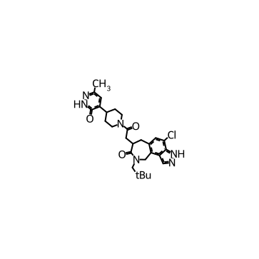 Cc1cc(C2CCN(C(=O)CC3Cc4cc(Cl)c5[nH]ncc5c4CN(CC(C)(C)C)C3=O)CC2)c(=O)[nH]n1